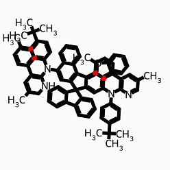 CC1=CC(c2ccc(C)cc2)=C(N(c2ccc(C(C)(C)C)cc2)c2cc3c(c4ccccc24)-c2c(cc(N(c4ccc(C(C)(C)C)cc4)c4ncc(C)cc4-c4ccc(C)cc4)c4c2oc2ccccc24)C32c3ccccc3-c3ccccc32)NC1